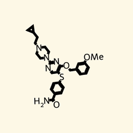 COc1cccc(COc2nc(N3CCN(CCC4CC4)CC3)ncc2Sc2ccc(C(N)=O)cc2)c1